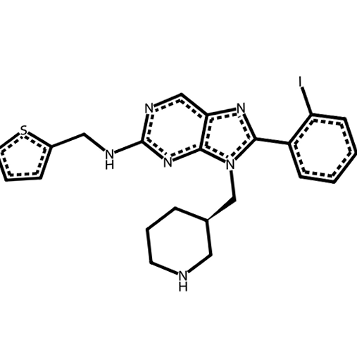 Ic1ccccc1-c1nc2cnc(NCc3cccs3)nc2n1C[C@@H]1CCCNC1